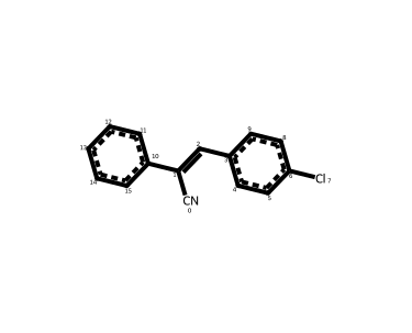 N#C/C(=C\c1ccc(Cl)cc1)c1ccccc1